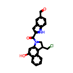 O=Cc1ccc2[nH]c(C(=O)N3CC(CCl)c4c3cc(O)c3ccccc43)cc2c1